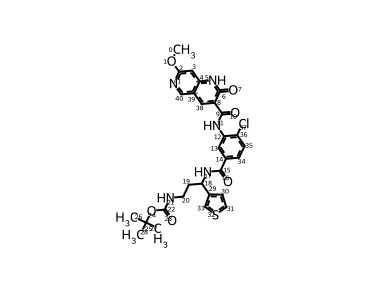 COc1cc2[nH]c(=O)c(C(=O)Nc3cc(C(=O)NC(CCNC(=O)OC(C)(C)C)c4ccsc4)ccc3Cl)cc2cn1